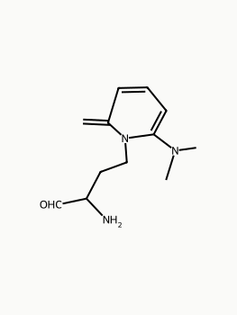 C=C1C=CC=C(N(C)C)N1CCC(N)C=O